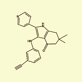 C#Cc1cccc(Nc2c(-c3ccncc3)[nH]c3c2C(=O)CC(C)(C)C3)c1